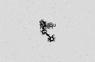 Cc1cccnc1C#Cc1ccc(-c2nc3sccn3c2NC(C)(C)C)s1